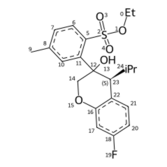 CCOS(=O)(=O)c1ccc(C)cc1C1(O)COc2cc(F)ccc2[C@@H]1C(C)C